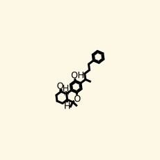 CC(CCCc1ccccc1)c1cc2c(cc1O)[C@@H]1C(=O)CCC[C@H]1C(C)(C)O2